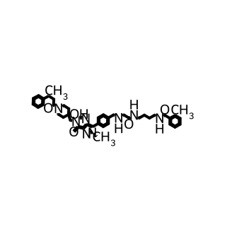 Cc1ccccc1C(=O)NCCCCNC(=O)CNCc1ccc(-c2c3ncn(CC4(O)CCN(C(=O)CC(C)c5ccccc5)CC4)c(=O)c3nn2C)cc1